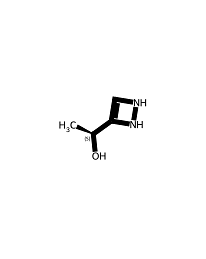 C[C@H](O)c1c[nH][nH]1